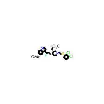 COc1ccc2nccc([C@H](F)CC[C@@H]3CCN(CCSc4cccc(Cl)c4Cl)C[C@H]3CCC(=O)O)c2c1